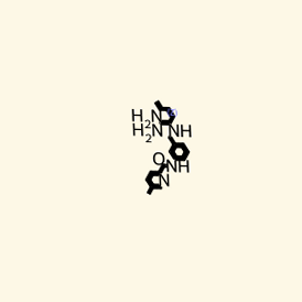 C=C/C=C\C(NCc1cccc(NC(=O)c2ccc(C)cn2)c1)=C(N)N